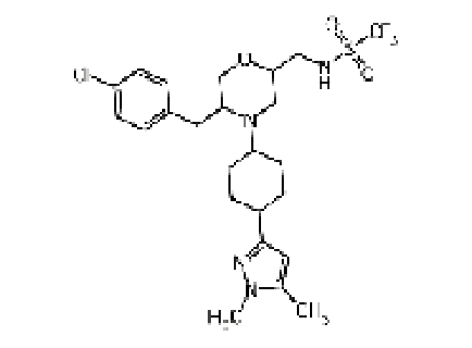 Cc1cc(C2CCC(N3CC(CNS(=O)(=O)C(F)(F)F)OCC3Cc3ccc(Cl)cc3)CC2)nn1C